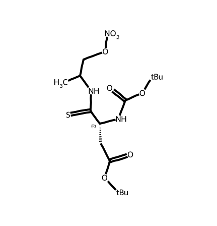 CC(CO[N+](=O)[O-])NC(=S)[C@@H](CC(=O)OC(C)(C)C)NC(=O)OC(C)(C)C